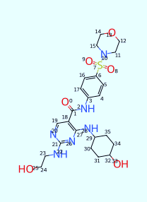 O=C(Nc1ccc(S(=O)(=O)N2CCOCC2)cc1)c1cnc(NCCO)nc1NC1CCC(O)CC1